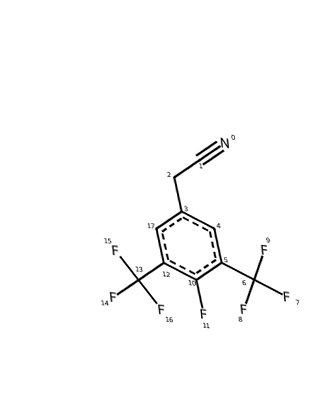 N#CCc1cc(C(F)(F)F)c(F)c(C(F)(F)F)c1